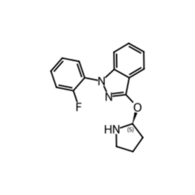 Fc1ccccc1-n1nc(O[C@H]2CCCN2)c2ccccc21